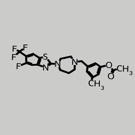 CC(=O)Oc1cc(C)cc(CN2CCCN(c3nc4cc(F)c(C(F)(F)F)cc4s3)CC2)c1